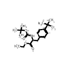 CCOC(=O)C(Cc1ccc(C(C)(C)C)cc1)NC(=O)OC(C)(C)C